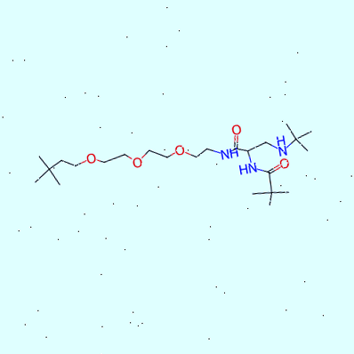 CC(C)(C)CCOCCOCCOCCNC(=O)C(CNC(C)(C)C)NC(=O)C(C)(C)C